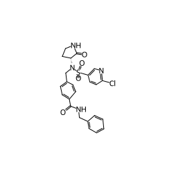 O=C(NCc1ccccc1)c1ccc(CN([C@@H]2CCNC2=O)S(=O)(=O)c2ccc(Cl)nc2)cc1